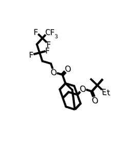 CCC(C)(C)C(=O)OC12CC3CC(C1)CC(C(=O)OCCC(F)(F)CC(F)(F)C(F)(F)F)(C3)C2